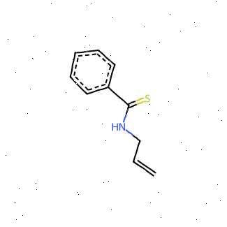 C=CCNC(=S)c1ccccc1